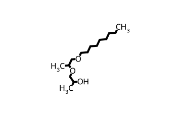 CCCCCCCCCOCC(C)OCC(C)O